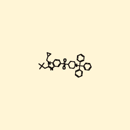 CC(C)(C)Cc1nc2cc(S(=O)(=O)C3CCN(C(c4ccccc4)(c4ccccc4)c4ccccc4)CC3)ccc2n1CC1CC1